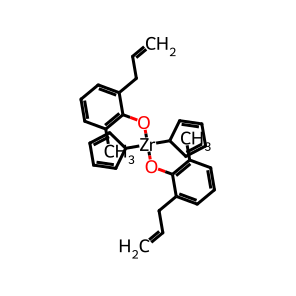 C=CCc1cccc(C)c1[O][Zr]([O]c1c(C)cccc1CC=C)([CH]1C=CC=C1)[CH]1C=CC=C1